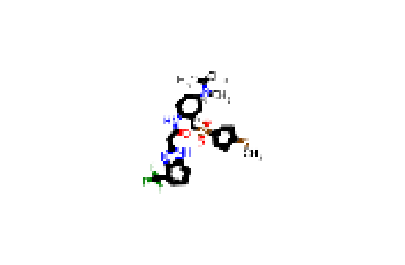 CSc1ccc(S(=O)(=O)C[C@@H]2C[C@H](N(C)C(C)C)CCC2NC(=O)Cc2nc3c(C(F)(F)F)cccc3[nH]2)cc1